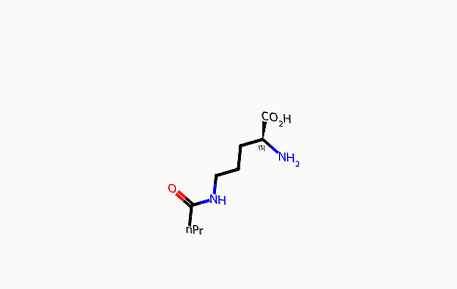 CCCC(=O)NCCC[C@H](N)C(=O)O